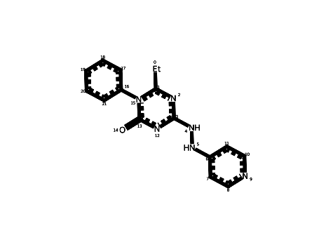 CCc1nc(NNc2ccncc2)nc(=O)n1-c1ccccc1